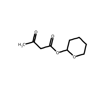 CC(=O)CC(=O)OC1CCCCO1